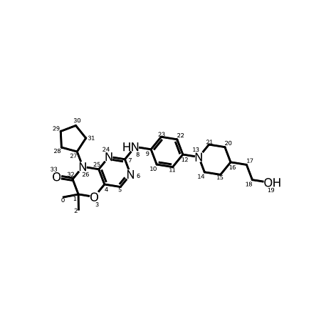 CC1(C)Oc2cnc(Nc3ccc(N4CCC(CCO)CC4)cc3)nc2N(C2CCCC2)C1=O